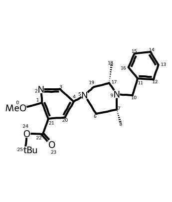 COc1ncc(N2C[C@@H](C)N(Cc3ccccc3)[C@@H](C)C2)cc1C(=O)OC(C)(C)C